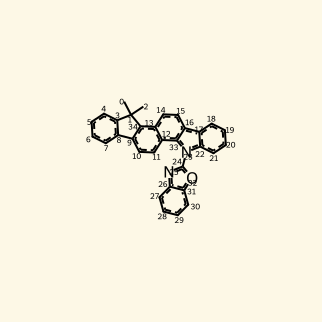 CC1(C)c2ccccc2-c2ccc3c(ccc4c5ccccc5n(-c5nc6ccccc6o5)c34)c21